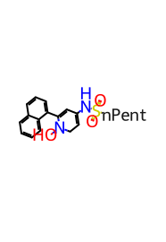 CCCCCS(=O)(=O)NC1=CCN(O)C(c2cccc3ccccc23)=C1